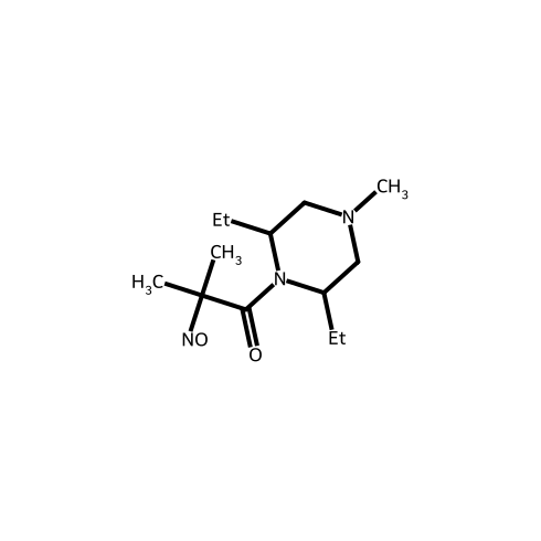 CCC1CN(C)CC(CC)N1C(=O)C(C)(C)N=O